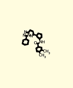 Cc1ccc(C(=O)Nc2cccc(-c3ccc4nnc(-c5ccccc5)n4n3)c2)cc1C